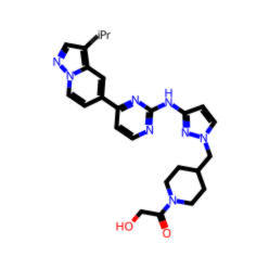 CC(C)c1cnn2ccc(-c3ccnc(Nc4ccn(CC5CCN(C(=O)CO)CC5)n4)n3)cc12